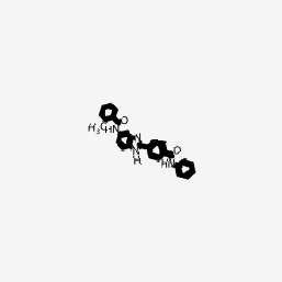 CC1CCCCC1C(=O)Nc1ccc2[nH]c(-c3ccc(C(=O)Nc4ccccc4)cc3)nc2c1